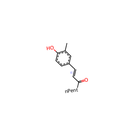 CCCCCC(=O)/C=C/c1ccc(O)c(C)c1